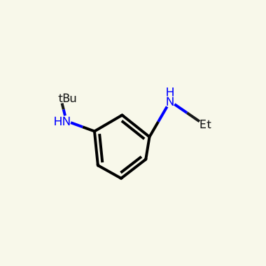 CCNc1cccc(NC(C)(C)C)c1